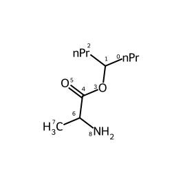 CCCC(CCC)OC(=O)C(C)N